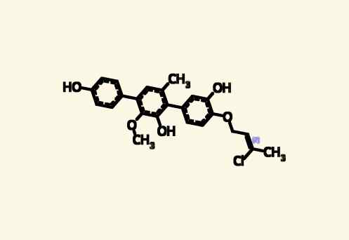 COc1c(-c2ccc(O)cc2)cc(C)c(-c2ccc(OC/C=C(/C)Cl)c(O)c2)c1O